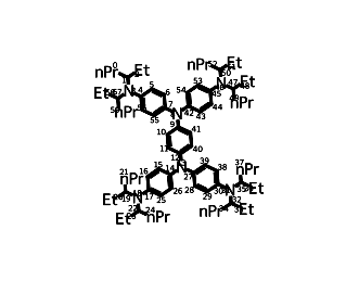 CCCC(CC)N(c1ccc(N(c2ccc(N(c3ccc(N(C(CC)CCC)C(CC)CCC)cc3)c3ccc(N(C(CC)CCC)C(CC)CCC)cc3)cc2)c2ccc(N(C(CC)CCC)C(CC)CCC)cc2)cc1)C(CC)CCC